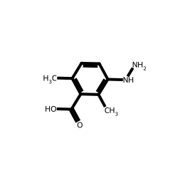 Cc1ccc(NN)c(C)c1C(=O)O